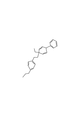 CCCc1ccc(CCC2(CC)C=CC(c3ccccc3)C=C2)cc1